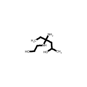 CCC(N)(CC(C)O)NCCO